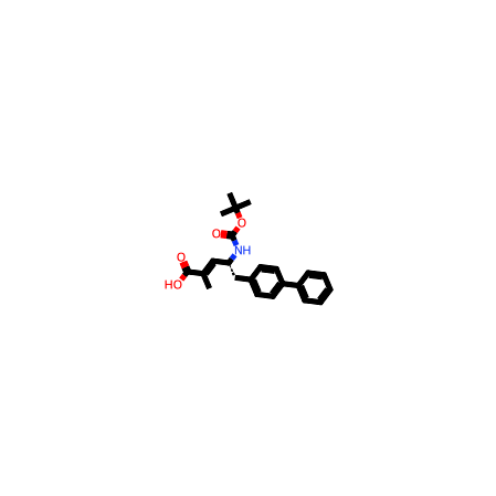 CC(=C[C@@H](Cc1ccc(-c2ccccc2)cc1)NC(=O)OC(C)(C)C)C(=O)O